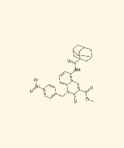 COC(=O)c1cc2c(NC(=O)C34CC5CC(CC(C5)C3)C4)cccc2n(Cc2ccc([N+](=O)[O-])cc2)c1=O